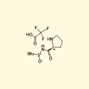 CC(C)(C)[S+]([O-])NC(=O)[C@@H]1CCCN1.O=C(O)C(F)(F)F